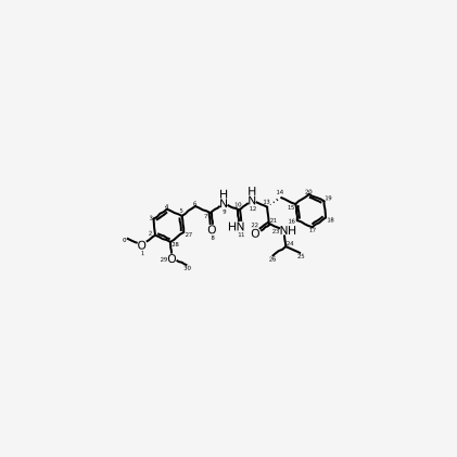 COc1ccc(CC(=O)NC(=N)N[C@H](Cc2ccccc2)C(=O)NC(C)C)cc1OC